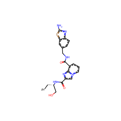 CC(C)C[C@@H](CO)NC(=O)c1cn2cccc(C(=O)NCc3ccc4nc(N)sc4c3)c2n1